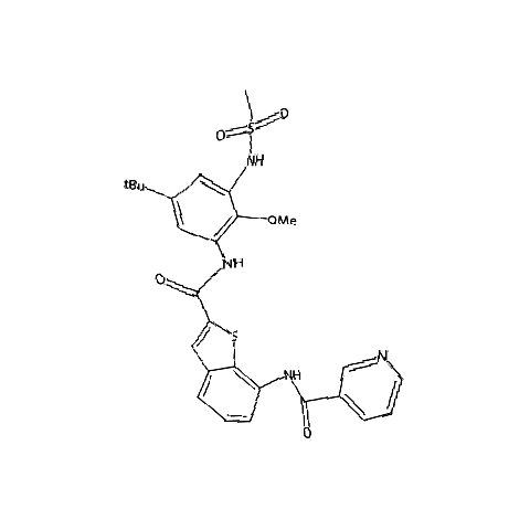 COc1c(NC(=O)c2cc3cccc(NC(=O)c4cccnc4)c3s2)cc(C(C)(C)C)cc1NS(C)(=O)=O